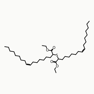 CCCCCCCC/C=C\CCCCCCC(SC(CCCCCC/C=C\CCCCCCCC)C(=O)OCC)C(=O)OCC